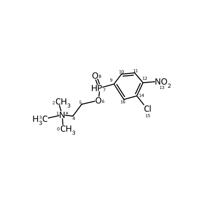 C[N+](C)(C)CCO[PH](=O)c1ccc([N+](=O)[O-])c(Cl)c1